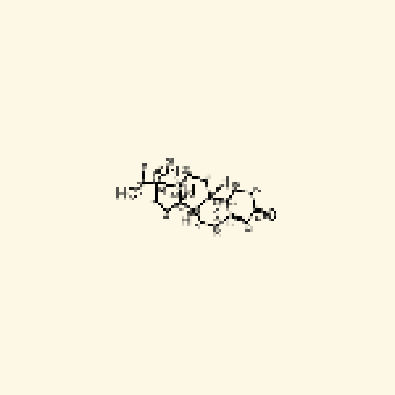 CC(O)[C@@]1(O)CC[C@H]2[C@@H]3CCC4=CC(=O)CC[C@]4(C)[C@H]3CC[C@@]21C